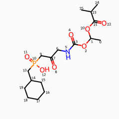 CC(OC(=O)NCC(=O)CP(=O)(O)CC1CCCCC1)OC(=O)C(C)C